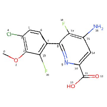 COc1c(Cl)ccc(-c2nc(C(=O)O)cc(N)c2F)c1F